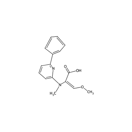 COC=C(C(=O)O)N(C)c1cccc(-c2ccccc2)n1